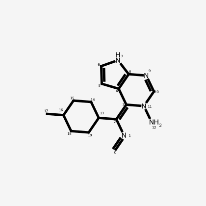 C=N/C(=C1/c2cc[nH]c2N=CN1N)C1CCC(C)CC1